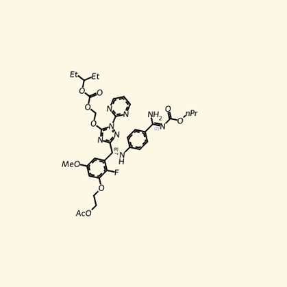 CCCOC(=O)/N=C(\N)c1ccc(N[C@@H](c2nc(OCOC(=O)OC(CC)CC)n(-c3ncccn3)n2)c2cc(OC)cc(OCCOC(C)=O)c2F)cc1